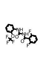 O=C(NC(=O)c1c(F)cccc1F)Nc1ccccc1OC(F)(F)F